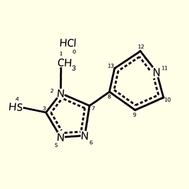 Cl.Cn1c(S)nnc1-c1ccncc1